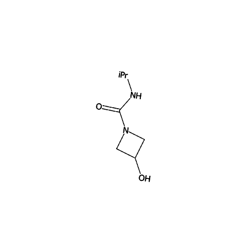 CC(C)NC(=O)N1CC(O)C1